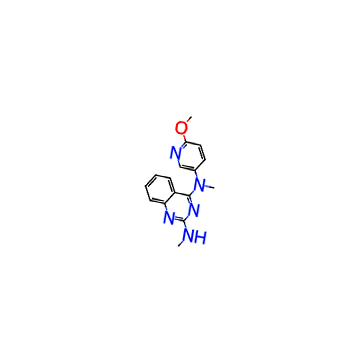 CNc1nc(N(C)c2ccc(OC)nc2)c2ccccc2n1